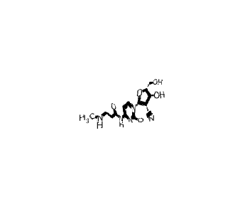 CNCCC(=O)Nc1ccn([C@@H]2O[C@H](CO)[C@@H](O)[C@@H]2C#N)c(=O)n1